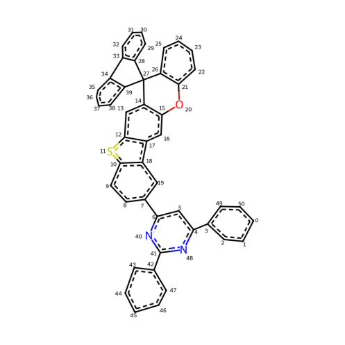 c1ccc(-c2cc(-c3ccc4sc5cc6c(cc5c4c3)Oc3ccccc3C63c4ccccc4-c4ccccc43)nc(-c3ccccc3)n2)cc1